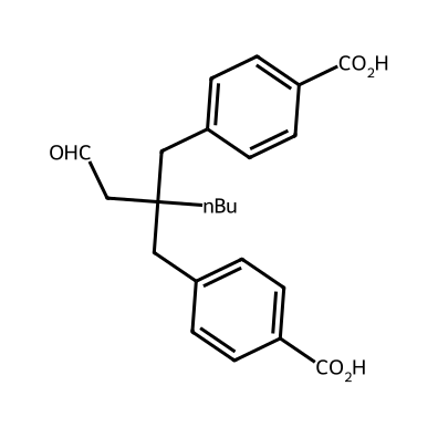 CCCCC(CC=O)(Cc1ccc(C(=O)O)cc1)Cc1ccc(C(=O)O)cc1